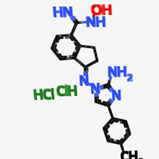 Cc1ccc(-c2cn(N=C3CCc4c(C(=N)NO)cccc43)c(N)n2)cc1.Cl.Cl